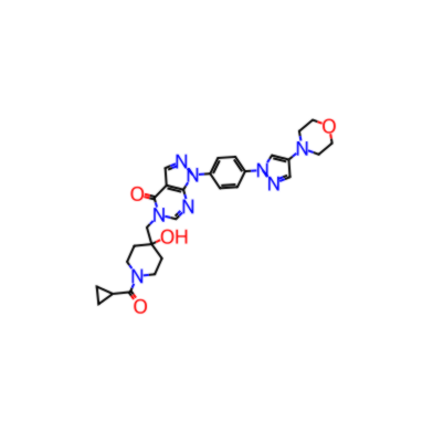 O=C(C1CC1)N1CCC(O)(Cn2cnc3c(cnn3-c3ccc(-n4cc(N5CCOCC5)cn4)cc3)c2=O)CC1